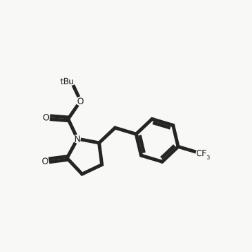 CC(C)(C)OC(=O)N1C(=O)CCC1Cc1ccc(C(F)(F)F)cc1